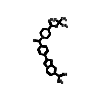 CC(C)(C)OC(=O)C1CCN(C(=O)c2ccc(-c3cn4ccc(C(=N)N)cc4n3)cc2)CC1